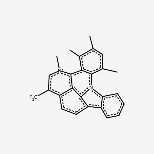 Cc1cc(C)c2c(c1C)c1c3c(ccc4c5ccccc5n2c43)c(C(F)(F)F)c[n+]1C